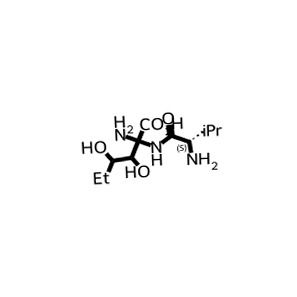 CCC(O)C(O)C(N)(NC(=O)[C@@H](N)C(C)C)C(=O)O